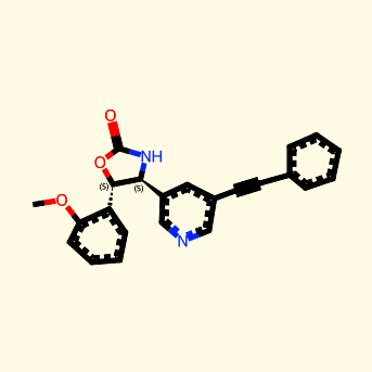 COc1ccccc1[C@@H]1OC(=O)N[C@H]1c1cncc(C#Cc2ccccc2)c1